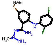 CNSc1ccc(Nc2cc(F)ccc2F)c(/C(N)=N/N(C)N)c1